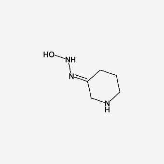 ON/N=C1\CCCNC1